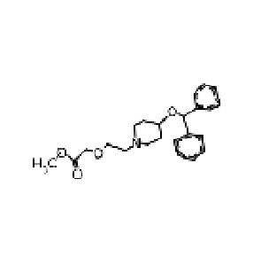 COC(=O)COCCN1CCC(OC(c2ccccc2)c2ccccc2)CC1